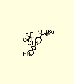 CC(C)(C)NC(=O)C1CCN(C2CC3(CCNC3)C2)CC1.O=C(O)C(F)(F)F